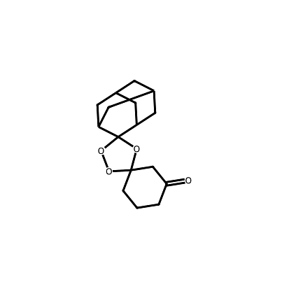 O=C1CCCC2(C1)OOC1(O2)C2CC3CC(C2)CC1C3